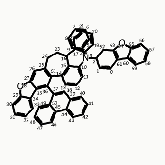 C1=CC(N(c2ccccc2)c2cccc3c2C(c2ccccc2)CCc2cc4oc5ccccc5c4c(-c4cc5ccccc5c5ccccc45)c2-3)Cc2oc3ccccc3c21